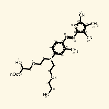 CCCCCCCCC(O)COCCN(CCOCCO)c1ccc(/N=N/c2sc(C#N)c(C)c2C#N)c(C)c1